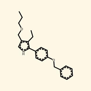 CCCOCc1c[nH]c(-c2ccc(OCc3ccccc3)cc2)c1CC